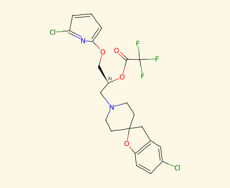 O=C(O[C@H](COc1cccc(Cl)n1)CN1CCC2(CC1)Cc1cc(Cl)ccc1O2)C(F)(F)F